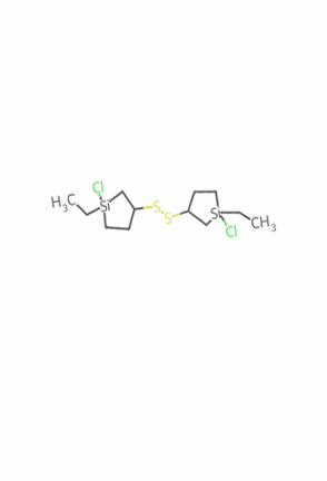 CC[Si]1(Cl)CCC(SSC2CC[Si](Cl)(CC)C2)C1